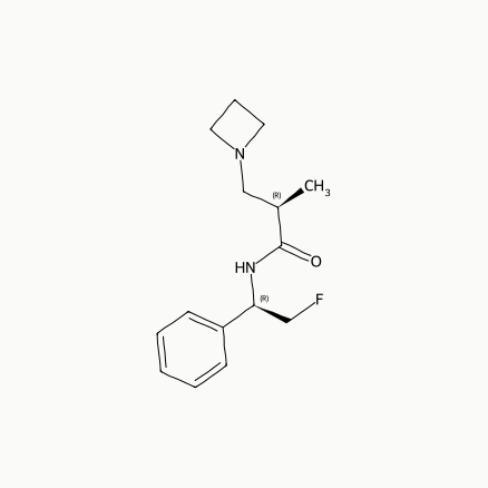 C[C@H](CN1CCC1)C(=O)N[C@@H](CF)c1ccccc1